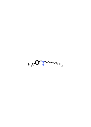 C=CCCCCCCNCc1ccc(C)cc1